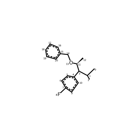 CC(C)C(c1ccc(F)cc1)[C@H](C)OCc1ccccc1